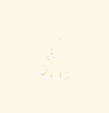 Nc1nc(Nc2ccc(F)cc2)sc1C(=O)c1cc(C(=O)N[C@H]2C[C@@H](F)C2)no1